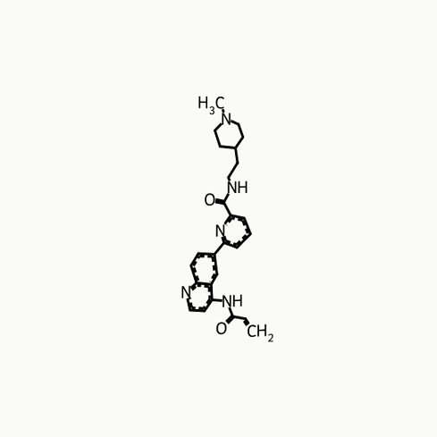 C=CC(=O)Nc1ccnc2ccc(-c3cccc(C(=O)NCCC4CCN(C)CC4)n3)cc12